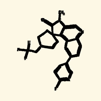 CN1C(=O)C2(CCN(CC(F)(F)F)CC2)c2c1cnc1ccc(-c3ccc(F)nc3)cc21